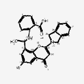 CC(Nc1ccccc1C(=O)O)c1cc(F)cc2c(=O)cc(N3Cc4ccccc4C3)oc12